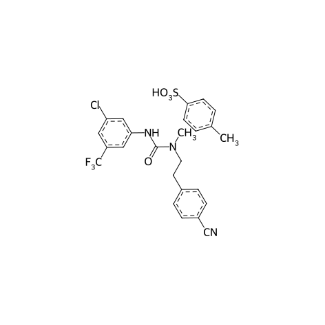 CN(CCc1ccc(C#N)cc1)C(=O)Nc1cc(Cl)cc(C(F)(F)F)c1.Cc1ccc(S(=O)(=O)O)cc1